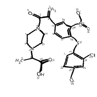 C=C(C(=O)N1CCN(C(C)C(=O)O)CC1)c1ccc(Sc2ccc(Cl)cc2Cl)c([N+](=O)[O-])c1